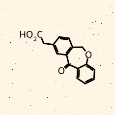 O=C(O)Cc1ccc2c(c1)C(=O)c1ccccc1OC2